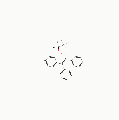 CC1(C)OB(C(=C(c2ccccc2)c2ccc(O)cc2)c2ccccc2)OC1(C)C